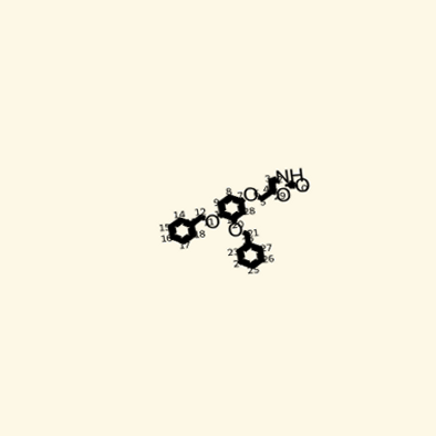 O=c1[nH]cc(COc2ccc(OCc3ccccc3)c(OCc3ccccc3)c2)o1